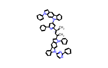 C=C/C(=C\C(=C)c1cc2cc3c4ccccc4n(-c4ccnc(-c5ccccc5)n4)c3cc2n1-c1ccccc1)c1cc(-n2c3ccccc3c3cc4ccn(-c5ccccc5)c4cc32)cc(-c2ccccc2)n1